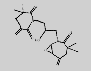 C=C1CC(C)(C)C(=O)N(CC(O)CN2C(=O)C(C)(C)CC(=C)C3OC32)C1=O